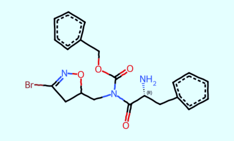 N[C@H](Cc1ccccc1)C(=O)N(CC1CC(Br)=NO1)C(=O)OCc1ccccc1